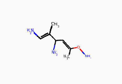 C/C(=C\C(N)/C(C)=C/N)ON